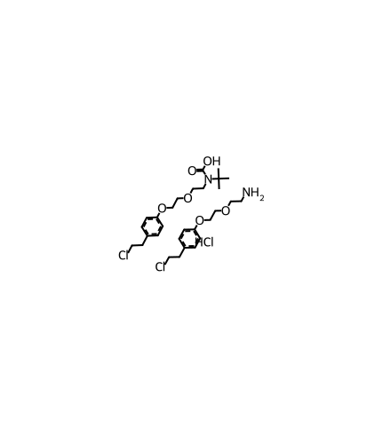 CC(C)(C)N(CCOCCOc1ccc(CCCl)cc1)C(=O)O.Cl.NCCOCCOc1ccc(CCCl)cc1